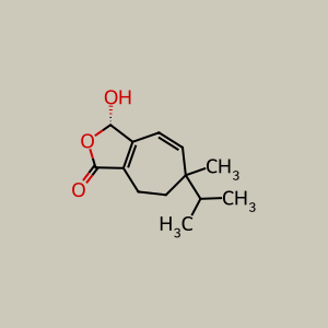 CC(C)C1(C)C=CC2=C(CC1)C(=O)O[C@@H]2O